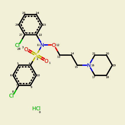 Cl.O=S(=O)(c1ccc(Cl)cc1)N(OCCCN1CCCCC1)c1ccccc1Cl